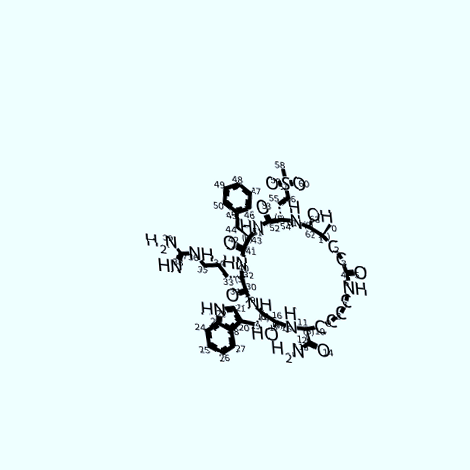 C[C@H]1CCC(=O)NCCCC[C@@H](C(N)=O)N[C@@H](O)[C@H](Cc2c[nH]c3ccccc23)NC(=O)[C@H](CCCNC(=N)N)NC(=O)[C@@H](Cc2ccccc2)NC(=O)[C@H](CCS(C)(=O)=O)N[C@H]1O